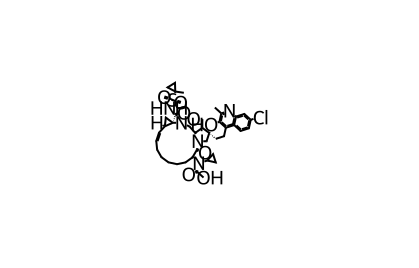 Cc1nc2cc(Cl)ccc2c2c1O[C@@]1(CC2)CN2C(=O)[C@@H](N(C(=O)O)C3CC3)CCCCC/C=C\[C@@H]3C[C@@]3(C(=O)NS(=O)(=O)C3(C)CC3)NC(=O)[C@@H]2C1C